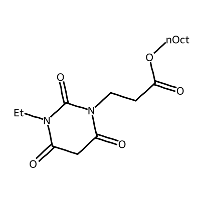 CCCCCCCCOC(=O)CCN1C(=O)CC(=O)N(CC)C1=O